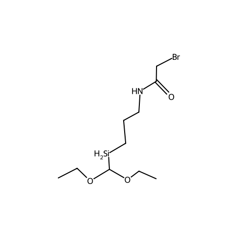 CCOC(OCC)[SiH2]CCCNC(=O)CBr